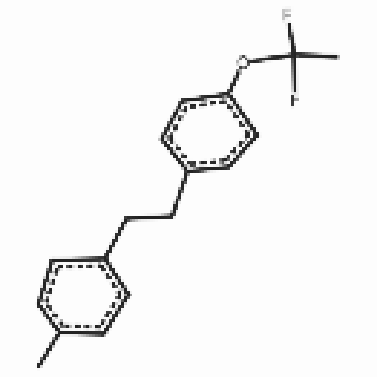 Cc1ccc(CCc2ccc(OC(C)(F)F)cc2)cc1